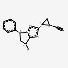 N#C[C@@H]1C[C@H]1c1nc2n(n1)[C@H](c1ccccc1)C[C@@H]2F